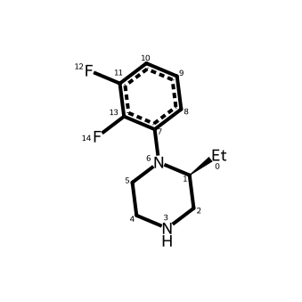 CC[C@H]1CNCCN1c1cccc(F)c1F